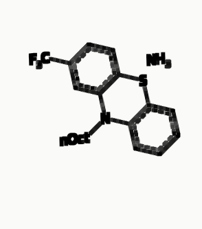 CCCCCCCCN1c2ccccc2Sc2ccc(C(F)(F)F)cc21.N